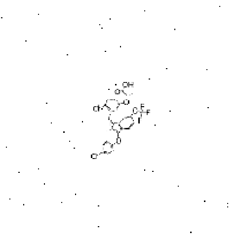 Cc1c(Oc2ccc(Cl)cc2)c2ccc(OC(F)(F)F)cc2n1Cc1cc(O[C@@H](C)C(=O)O)ccc1Cl